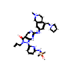 C=CCn1c(=O)c2cnc(Nc3cc4c(c(CN5CCCC5)c3)CCN(C)C4)nc2n1-c1cccc(N=S(C)(C)=O)n1